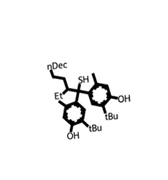 CCCCCCCCCCCCC(CC)C(S)(c1cc(C(C)(C)C)c(O)cc1C)c1cc(C(C)(C)C)c(O)cc1C